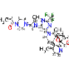 C=CC(=O)N1CCN([C@@H]2CN(c3cc(N4CC[C@H](c5c(C)ccnc5[C@]5(OC)CCOC5)C[C@H]4C)nc(C(F)(F)F)n3)[C@@H]2C)CC1